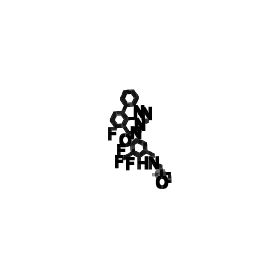 Cn1cnnc1-c1c(-c2ccccc2)ccc(F)c1-c1nc2cc(CNC[C@@]3(C)CCO3)cc(C(F)(F)F)c2o1